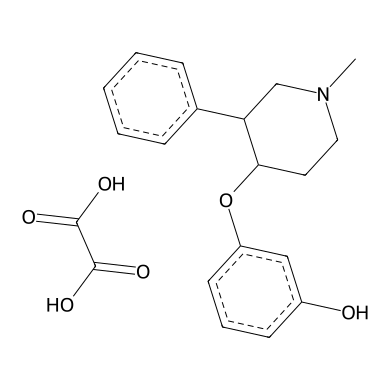 CN1CCC(Oc2cccc(O)c2)C(c2ccccc2)C1.O=C(O)C(=O)O